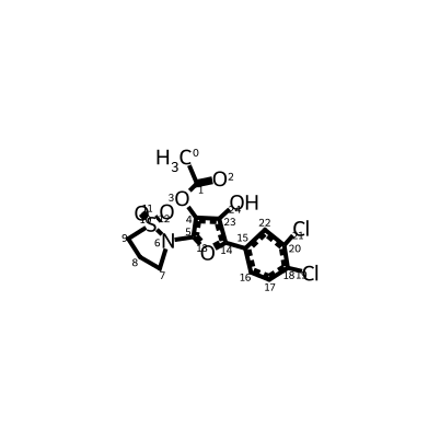 CC(=O)Oc1c(N2CCCS2(=O)=O)oc(-c2ccc(Cl)c(Cl)c2)c1O